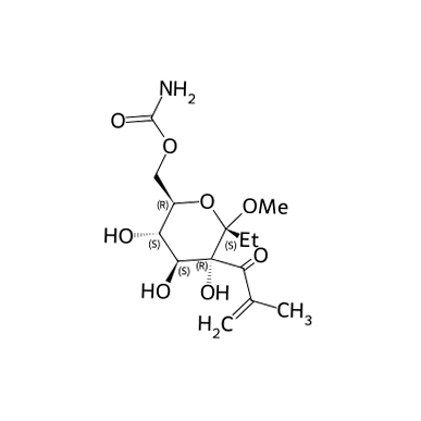 C=C(C)C(=O)[C@@]1(O)[C@@H](O)[C@H](O)[C@@H](COC(N)=O)O[C@]1(CC)OC